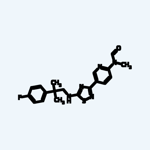 CN(C=O)c1ccc(-c2nsc(NCC(C)(C)c3ccc(F)cc3)n2)cn1